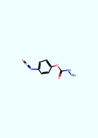 CCCCNC(=O)Oc1ccc(N=C=S)cc1